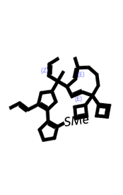 CC=CC1=C(C2=C(SC)CCC2)CC(C(C)(/C=C\C)C2/C=C/C(C3=C=CC3)(C3C=CC3)CCC/C(C)=C/2)C1